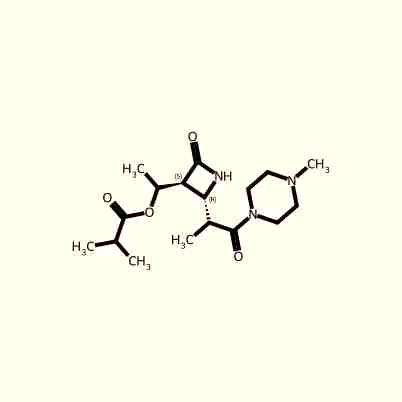 CC(C)C(=O)OC(C)[C@H]1C(=O)N[C@@H]1C(C)C(=O)N1CCN(C)CC1